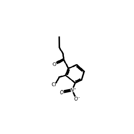 CCCC(=O)c1cccc([N+](=O)[O-])c1CCl